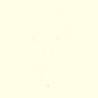 Nc1ccc2ccc(CN3CC[C@H](NS(=O)(=O)c4cc5ccccc5s4)C3=O)cc2n1.O=C(O)C(F)(F)F